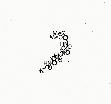 COc1ccc(CNC(=O)C(=O)[C@@H]2CCCN2C(=O)CNC(=O)c2ccnc3c(NC(=O)CCCN(C)C)cccc23)cc1OC